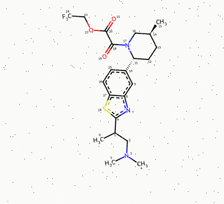 CC(CN(C)C)c1nc2cc([C@H]3CC[C@H](C)CN3C(=O)C(=O)OCC(F)(F)F)ccc2s1